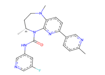 Cc1ccc(-c2ccc3c(n2)N(C(=O)Nc2cncc(F)c2)[C@H](C)CCN3C)cn1